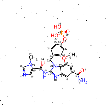 COc1cc(C(N)=O)cc2nc(NC(=O)c3cncn3C)n(Cc3ccc(OP(=O)(O)O)cc3)c12